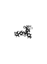 Cc1ccnc(C)c1-c1ccc(NC(=O)C(c2cc(C(N)=O)n(C)n2)C2CC=C(F)CC2)cc1